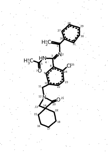 C=C(/N=C(\NC(C)=O)c1cc(CN2CC3(CCCCC3)C2=O)ccc1Cl)c1ccccc1